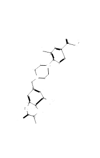 CCNC(=O)c1ccc(N2CCN(Cc3cc4c(c(OC)c3)OC(C)C(=O)N4)CC2)c(Cl)c1